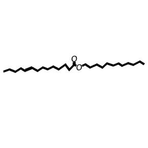 CCCCC=CCCCCCCCC(=O)OCCCCCCCCCCCC